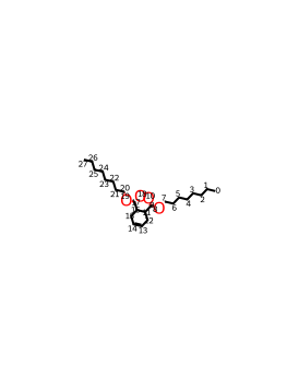 CCCCCCCCOC(=O)C1CC=CCC1C(=O)OCCCCCCCC